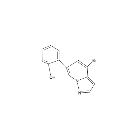 Oc1ccccc1-c1cc(Br)c2ccnn2c1